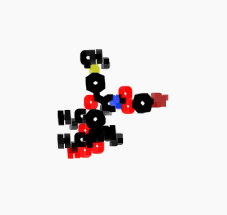 CCSc1ccc(C(=O)C2CN(C(=O)Oc3ccc(Br)cc3)C[C@@H]2c2cc(C)c(OC(C)(C)C(=O)O)c(C)c2)cc1